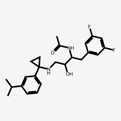 CC(=O)NC(Cc1cc(F)cc(F)c1)C(O)CNC1(c2cccc(C(C)C)c2)CC1